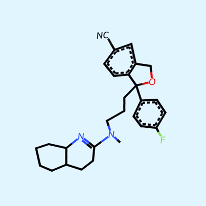 CN(CCCC1(c2ccc(F)cc2)OCc2cc(C#N)ccc21)C1=NC2CCCCC2CC1